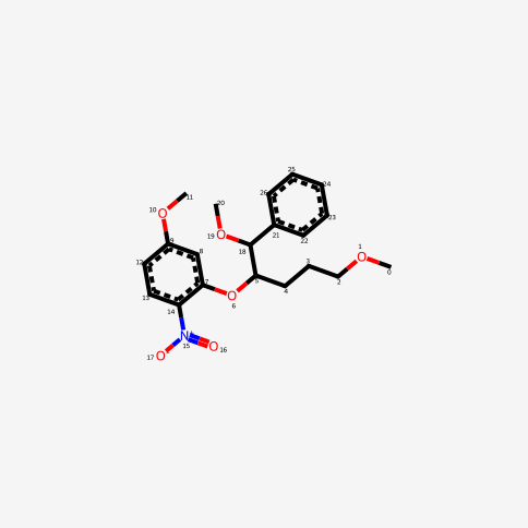 COCCCC(Oc1cc(OC)ccc1[N+](=O)[O-])C(OC)c1ccccc1